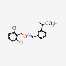 CC(C(=O)O)c1cccc(C=NOCc2c(Cl)cccc2Cl)c1